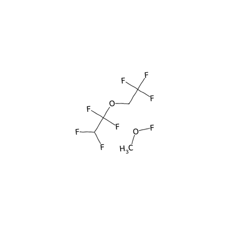 COF.FC(F)C(F)(F)OCC(F)(F)F